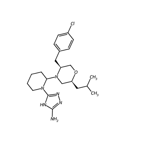 CC(C)C[C@H]1CN(C2CCCCN2c2nnc(N)[nH]2)[C@@H](Cc2ccc(Cl)cc2)CO1